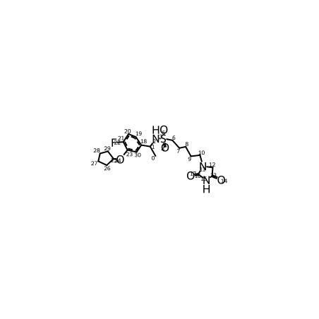 CC(NS(=O)(=O)CCCCCN1CC(=O)NC1=O)c1ccc(F)c(OC2CCCC2)c1